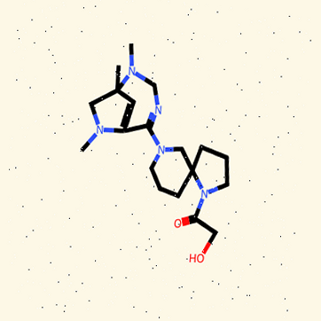 CN1CC2(C)C=C1C(N1CCCC3(CCCN3C(=O)CO)C1)=NCN2C